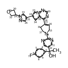 CC(O)(c1ccc(F)cc1)c1cnc(N2CC=C(c3ncnn4cc(-c5cnn(C6COC6)c5)cc34)CC2)nc1